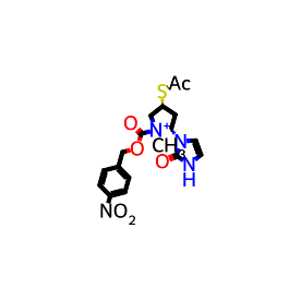 CC(=O)S[C@H]1C[C@@H](n2cc[nH]c2=O)[N+](C)(C(=O)OCc2ccc([N+](=O)[O-])cc2)C1